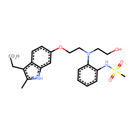 Cc1[nH]c2cc(OCCN(CCO)c3ccccc3NS(C)(=O)=O)ccc2c1CC(=O)O